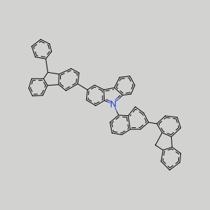 c1ccc(C2c3ccccc3-c3cc(-c4ccc5c(c4)c4ccccc4n5-c4cccc5cc(-c6cccc7c6Cc6ccccc6-7)ccc45)ccc32)cc1